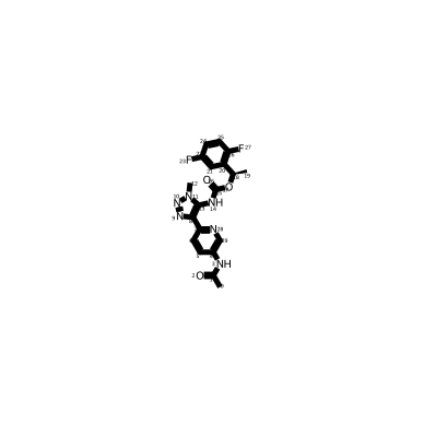 CC(=O)Nc1ccc(-c2nnn(C)c2NC(=O)O[C@H](C)c2cc(F)ccc2F)nc1